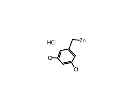 Cl.Clc1cc(Cl)cc([CH2][Zn])c1